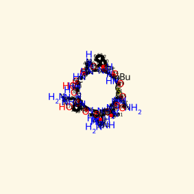 C=C(c1c[nH]cn1)[C@@H]1NC(=O)[C@H](Cc2ccc(O)cc2)N(C)C(=O)[C@H](CCCNC(=N)N)NC(=O)[C@H](CO)NC(=O)CNC(=O)[C@H](Cc2c[nH]cn2)NC(=O)[C@H](Cc2cccc3ccccc23)NC(=O)[C@H](CC)NC(=O)[C@H](CCCC)NC(=O)CSC[C@@H](C(=O)NCC(N)=O)NC(=O)[C@H](Cc2cncn2C)NC(=O)[C@H](CCCNC(=N)N)NC1=O